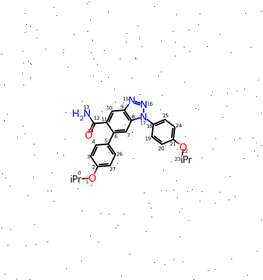 CC(C)Oc1ccc(-c2cc3c(cc2C(N)=O)nnn3-c2ccc(OC(C)C)cc2)cc1